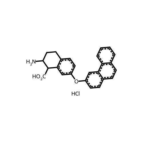 Cl.NC1CCc2ccc(Oc3ccc4ccc5ccccc5c4c3)cc2C1C(=O)O